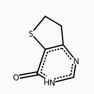 O=c1[nH]cnc2c1SCC2